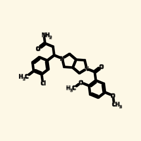 COc1ccc(OC)c(C(=O)N2CC3CN(C(CC(N)=O)c4ccc(C)c(Cl)c4)CC3C2)c1